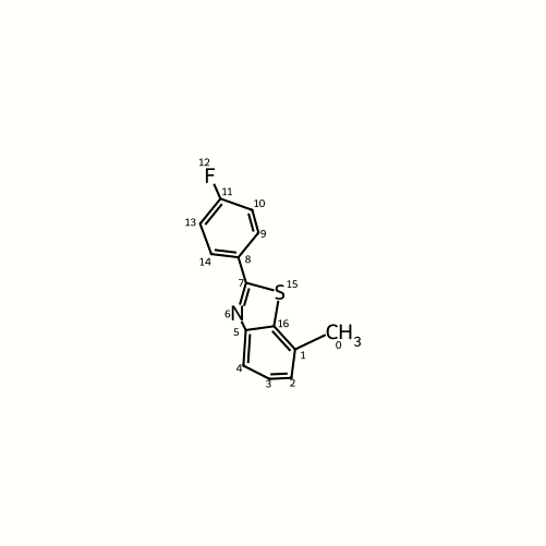 Cc1cccc2nc(-c3ccc(F)cc3)sc12